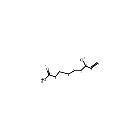 C=CC(Cl)CCCCCC(=O)O